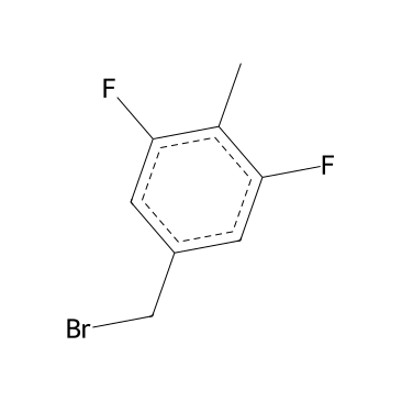 Cc1c(F)cc(CBr)cc1F